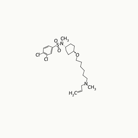 C=CCN(C)CCCCCCO[C@H]1CC[C@H](N(C)S(=O)(=O)c2ccc(Cl)c(Cl)c2)CC1